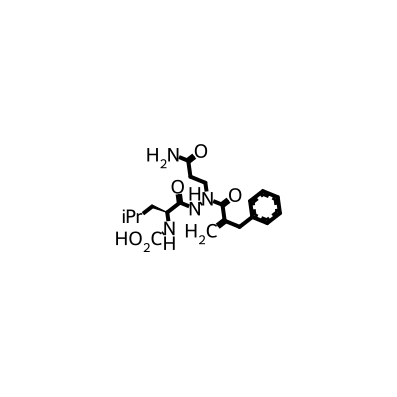 C=C(Cc1ccccc1)C(=O)N(CCC(N)=O)NC(=O)[C@H](CC(C)C)NC(=O)O